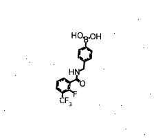 O=C(NCc1ccc(B(O)O)cc1)c1cccc(C(F)(F)F)c1F